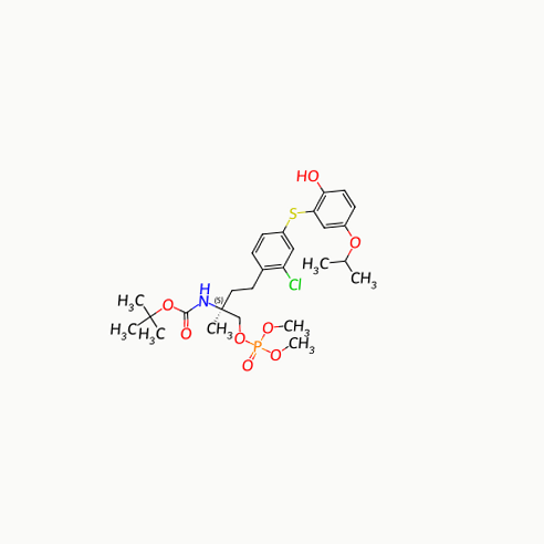 COP(=O)(OC)OC[C@](C)(CCc1ccc(Sc2cc(OC(C)C)ccc2O)cc1Cl)NC(=O)OC(C)(C)C